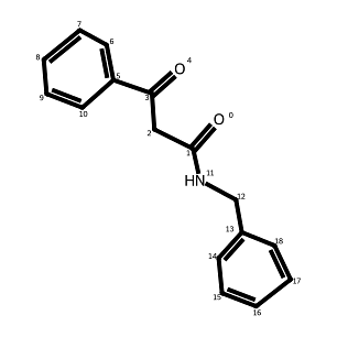 O=C(CC(=O)c1ccccc1)NCc1ccccc1